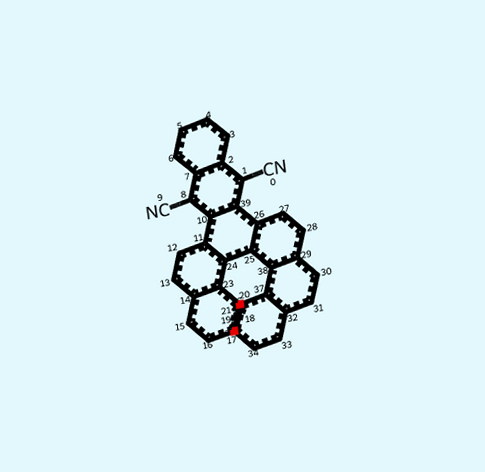 N#Cc1c2ccccc2c(C#N)c2c3ccc4ccc5ccccc5c4c3c3c(ccc4ccc5ccccc5c43)c12